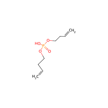 C=CCCOP(=O)(O)OCCC=C